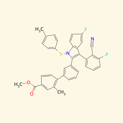 COC(=O)c1ccc(-c2cccc(-c3c(-c4cccc(F)c4C#N)c4cc(F)ccc4n3Sc3ccc(C)cc3)c2)c(C)c1